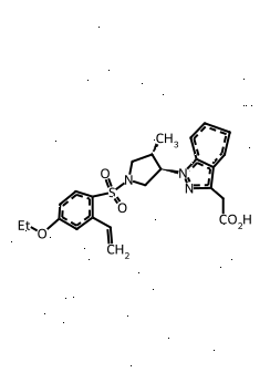 C=Cc1cc(OCC)ccc1S(=O)(=O)N1C[C@@H](C)[C@@H](n2nc(CC(=O)O)c3ccccc32)C1